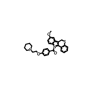 COc1ccc2c(c1)c1c(n2C(=O)c2ccc(OCCN3CCCCC3)cc2)-c2ccccc2SC1